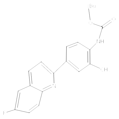 Cc1cc(-c2ccc3cc(F)ccc3n2)ccc1NC(=O)OC(C)(C)C